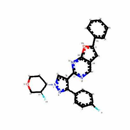 Fc1ccc(-c2nn([C@H]3CCOC[C@@H]3F)cc2-c2ncc3cc(-c4ccccc4)oc3n2)cc1